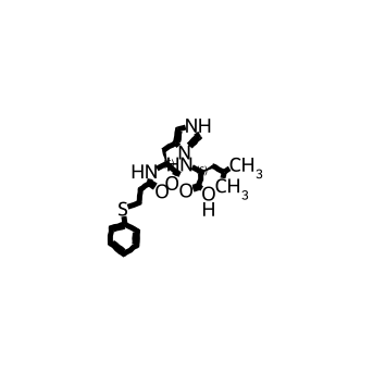 CC(C)C[C@H](NC(=O)[C@H](Cc1c[nH]cn1)NC(=O)CCSc1ccccc1)C(=O)O